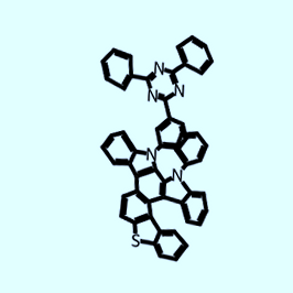 c1ccc(-c2nc(-c3ccccc3)nc(-c3cccc(-n4c5ccccc5c5c6ccc7sc8ccccc8c7c6c6c7ccccc7n(-c7ccccc7)c6c54)c3)n2)cc1